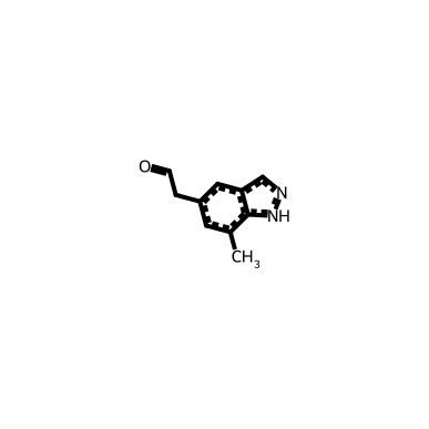 Cc1cc(CC=O)cc2cn[nH]c12